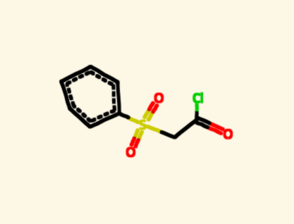 O=C(Cl)CS(=O)(=O)c1ccccc1